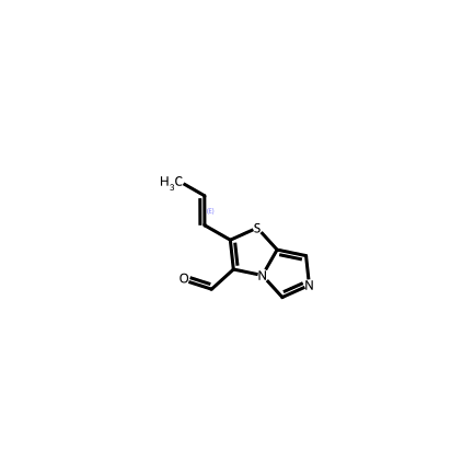 C/C=C/c1sc2cncn2c1C=O